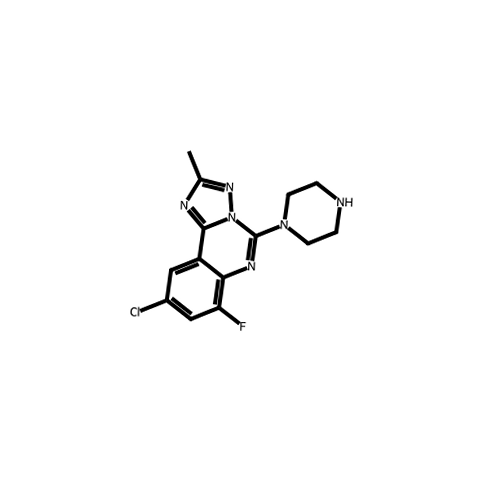 Cc1nc2c3cc(Cl)cc(F)c3nc(N3CCNCC3)n2n1